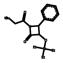 CC[Si](CC)(CC)OC1C(=O)N(C(=O)CC(C)(C)C)C1c1ccccc1